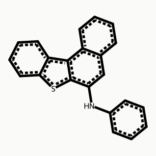 c1ccc(Nc2cc3ccccc3c3c2sc2ccccc23)cc1